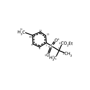 CCOC(=O)C(C)(C)S(=O)(=O)c1ccc(C)cc1